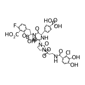 O=C(NCCS(=O)(=O)N1CCN(C(=O)NC(C(=O)NC2Cc3ccc(F)c(C(=O)O)c3OB2O)c2ccc(P(=O)(O)O)cc2)C1=O)c1ccc(O)c(O)c1Cl